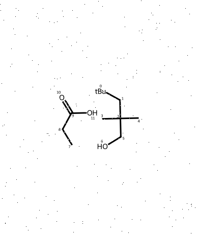 CC(C)(C)CC(C)(C)CO.CCC(=O)O